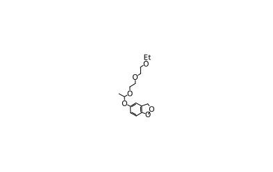 CCOCCOCCOC(C)Oc1ccc2c(c1)COO2